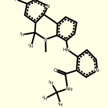 [2H]C([2H])([2H])NC(=O)c1cnccc1Nc1cccc2c1N(C)C([2H])([2H])c1cc(F)cnc1-2